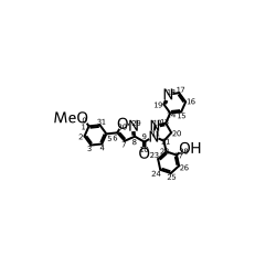 COc1cccc(-c2cc(C(=O)N3N=C(c4cccnc4)CC3c3ccccc3O)no2)c1